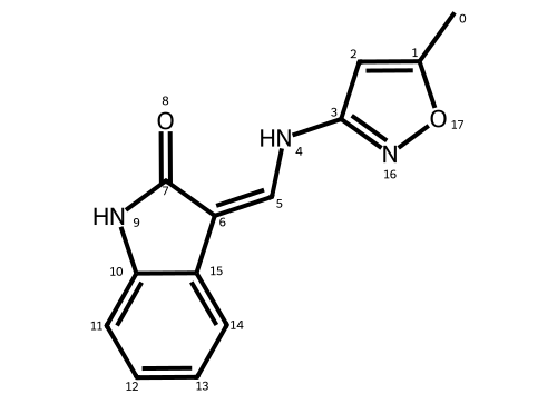 Cc1cc(NC=C2C(=O)Nc3ccccc32)no1